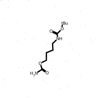 CC(C)(C)OC(=O)NCCCCOC(N)=O